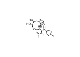 O=S1(=O)Nc2c(cc(F)c(F)c2Nc2ccc(I)cc2)OCC(O)C(O)CC12CC2